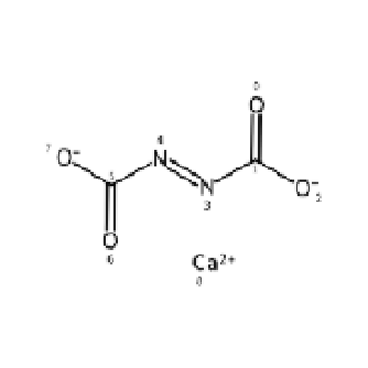 O=C([O-])N=NC(=O)[O-].[Ca+2]